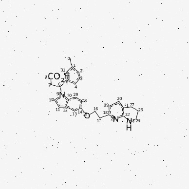 Cc1cccc(C(CC(=O)O)n2ccc3cc(OCCc4ccc5c(n4)NCCC5)ccc32)c1